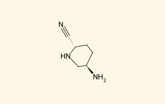 N#C[C@@H]1CC[C@@H](N)CN1